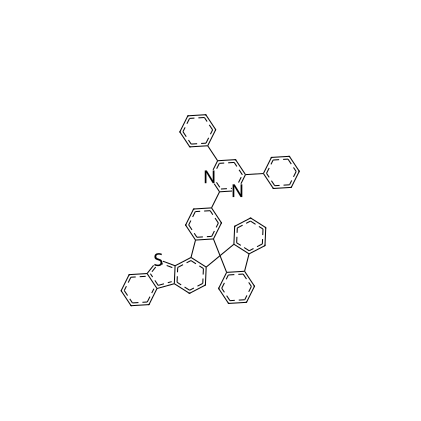 c1ccc(-c2cc(-c3ccccc3)nc(-c3ccc4c(c3)C3(c5ccccc5-c5ccccc53)c3ccc5c(sc6ccccc65)c3-4)n2)cc1